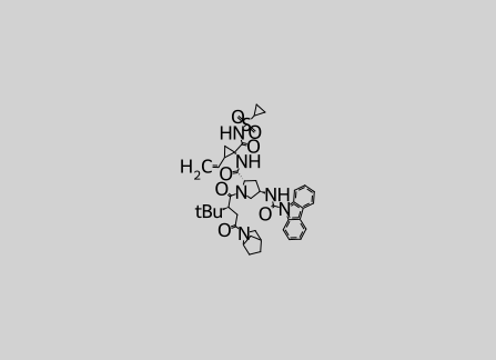 C=CC1C[C@]1(NC(=O)[C@@H]1C[C@@H](NC(=O)n2c3ccccc3c3ccccc32)CN1C(=O)[C@@H](CC(=O)N1CC2CCC1C2)C(C)(C)C)C(=O)NS(=O)(=O)C1CC1